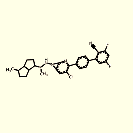 CC1CCC2C1CCC2P(C)NN1c2cc(Cl)c(-c3ccc(-c4cc(F)cc(F)c4C#N)cc3)nc21